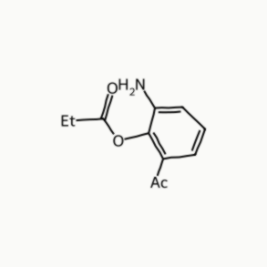 CCC(=O)Oc1c(N)cccc1C(C)=O